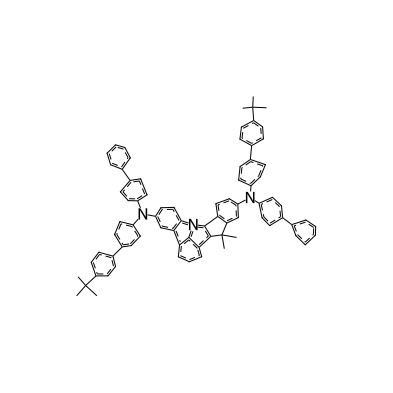 CC(C)(C)c1ccc(-c2ccc(N(c3ccc(-c4ccccc4)cc3)c3ccc4c(c3)C(C)(C)c3c-4n4c5ccc(N(c6ccc(-c7ccccc7)cc6)c6ccc(-c7ccc(C(C)(C)C)cc7)cc6)cc5c5cccc3c54)cc2)cc1